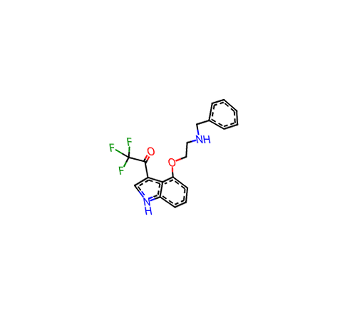 O=C(c1c[nH]c2cccc(OCCNCc3ccccc3)c12)C(F)(F)F